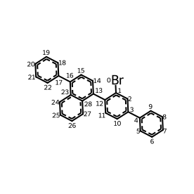 Brc1cc(-c2ccccc2)ccc1-c1ccc(-c2ccccc2)c2ccccc12